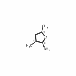 B[C@@H]1O[C@H](C)C[C@@H]1C